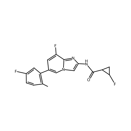 Cc1ccc(F)cc1-c1cc(F)c2nc(NC(=O)C3CC3F)cn2c1